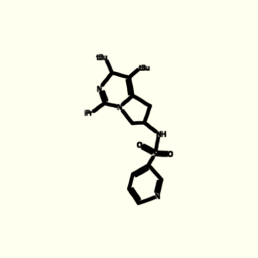 CC(C)C1=NC(C(C)(C)C)C(C(C)(C)C)=C2CC(NS(=O)(=O)c3cccnc3)CN12